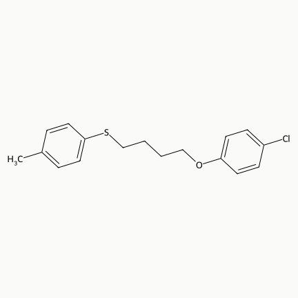 Cc1ccc(SCCCCOc2ccc(Cl)cc2)cc1